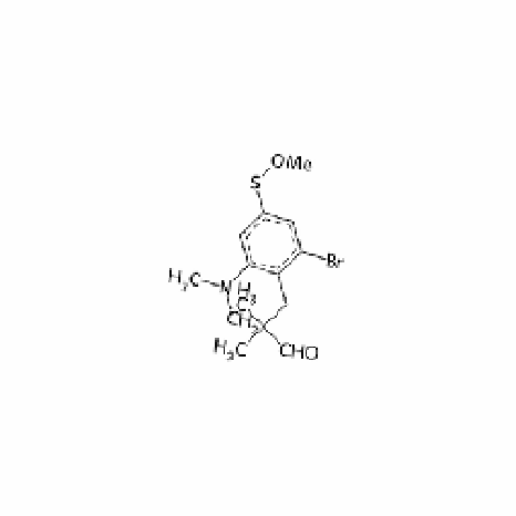 COSc1cc(Br)c(CC(C)(C)C=O)c(N(C)C)c1